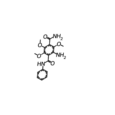 COc1c(OC)c(C(N)=O)c(OC)c(N)c1C(=O)Nc1ccccc1